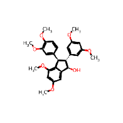 COc1cc(OC)cc([C@H]2[C@H](c3ccc(OC)c(OC)c3)c3c(OC)cc(OC)cc3[C@@H]2O)c1